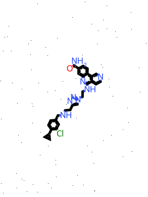 NC(=O)c1ccc2c(c1)nc(NCCn1cc(CCNCc3ccc(C4CC4)c(Cl)c3)nn1)c1ccncc12